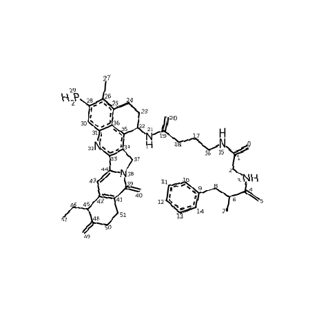 C=C(CNC(=C)C(C)Cc1ccccc1)NCCCC(=C)NC1CCc2c(C)c(P)cc3nc4c(c1c23)CN1C(=C)C2=C(C=C41)C(CC)C(=C)CC2